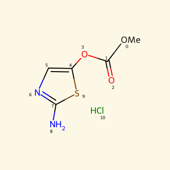 COC(=O)Oc1cnc(N)s1.Cl